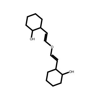 OC1CCCCC1C=COC=CC1CCCCC1O